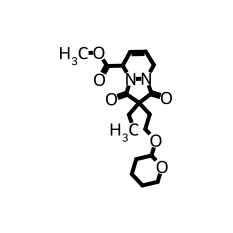 CCC1(CCOC2CCCCO2)C(=O)N2CC=CC(C(=O)OC)N2C1=O